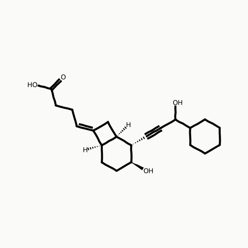 O=C(O)CCC=C1C[C@H]2[C@H](C#CC(O)C3CCCCC3)[C@@H](O)CC[C@@H]12